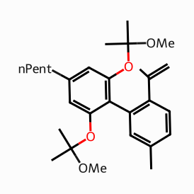 C=C(C)c1ccc(C)cc1-c1c(OC(C)(C)OC)cc(CCCCC)cc1OC(C)(C)OC